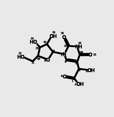 O=C(O)C(O)c1cn(C2OC(CO)C(O)C2O)c(=O)[nH]c1=O